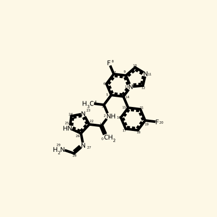 C=C(NC(C)c1cc(F)c2cncn2c1-c1cccc(F)c1)c1nc[nH]c1/N=C\N